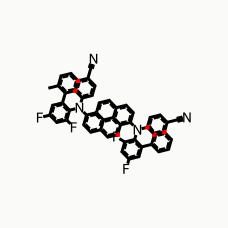 Cc1ccccc1-c1cc(F)cc(F)c1N(c1ccc(C#N)cc1)c1ccc2ccc3c(N(c4ccc(C#N)cc4)c4c(F)cc(F)cc4-c4ccccc4C)ccc4ccc1c2c43